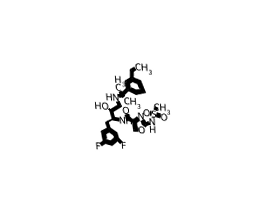 CCc1cccc(C(C)(C)NC[C@H](O)[C@H](Cc2cc(F)cc(F)c2)NC(=O)c2coc(NS(C)(=O)=O)n2)c1